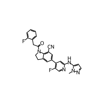 Cn1nccc1Nc1cc(-c2cc(C#N)c3c(c2)CCN3C(=O)Cc2ccccc2F)c(F)cn1